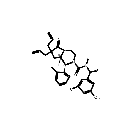 C=CCC1(CC=C)C[C@H]2[C@H](c3ccccc3C)N(C(=O)N(C)C(CC)c3cc(C(F)(F)F)cc(C(F)(F)F)c3)CCN2C1=O